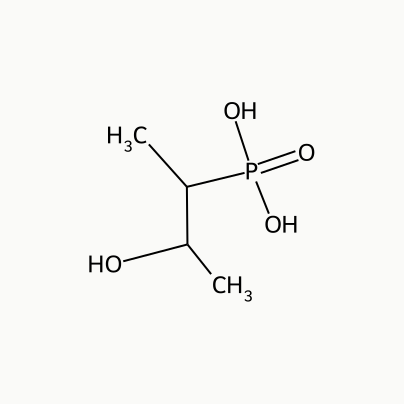 CC(O)C(C)P(=O)(O)O